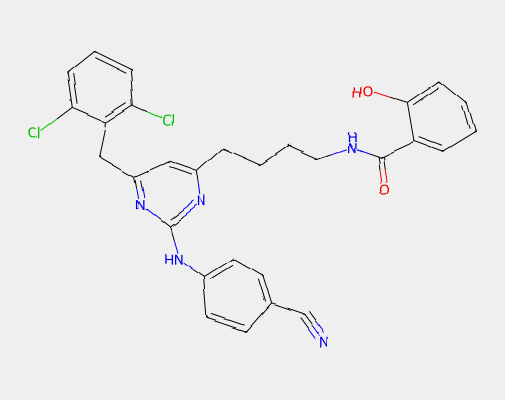 N#Cc1ccc(Nc2nc(CCCCNC(=O)c3ccccc3O)cc(Cc3c(Cl)cccc3Cl)n2)cc1